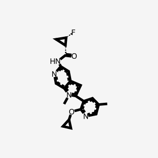 Cc1cnc(OC2CC2)c(-c2cc3cc(NC(=O)[C@@H]4C[C@@H]4F)ncc3n2C)c1